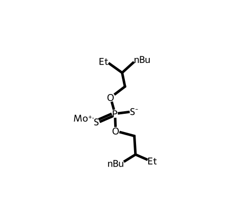 CCCCC(CC)COP(=S)([S-])OCC(CC)CCCC.[Mo+]